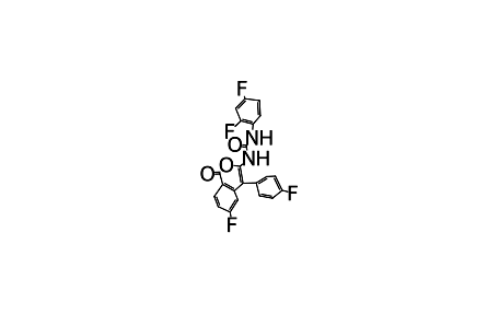 O=C(Nc1ccc(F)cc1F)Nc1oc(=O)c2ccc(F)cc2c1-c1ccc(F)cc1